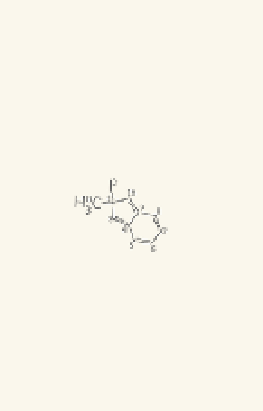 CC1(I)C=c2ccccc2=C1